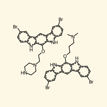 Brc1ccc2[nH]c3c(OCCN4CCNCC4)c4[nH]c5ccc(Br)cc5c4cc3c2c1.CN(C)CCCOc1c2[nH]c3ccc(Br)cc3c2cc2c1[nH]c1ccc(Br)cc12